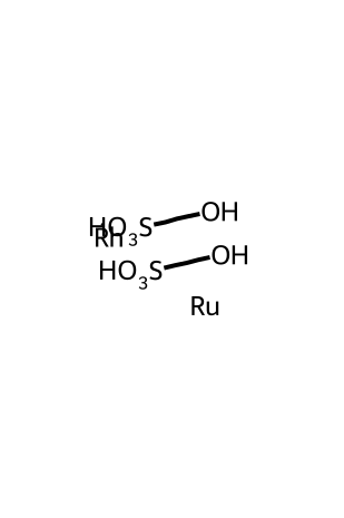 O=S(=O)(O)O.O=S(=O)(O)O.[Rh].[Ru]